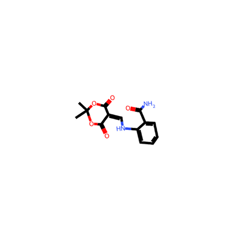 CC1(C)OC(=O)C(=CNc2ccccc2C(N)=O)C(=O)O1